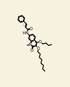 CCCCCCCCOc1c(OCCCC)c2ccc(NC(=O)/C=C/c3ccccc3)cc2n(C)c1=O